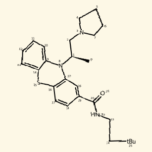 C[C@H](CN1CCCC1)N1c2ccccc2Sc2ccc(C(=O)NCCC(C)(C)C)cc21